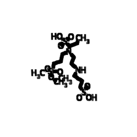 CCC(N(CCC[Si](OC)(OC)OC)CCNCCCS(=O)(=O)O)S(=O)(=O)O